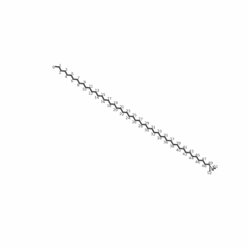 CCCCCCCCCCCCCCCCCCCCCCCCCCCCCCCCCCCCCCCCCCCCCCCCCCN(C)C